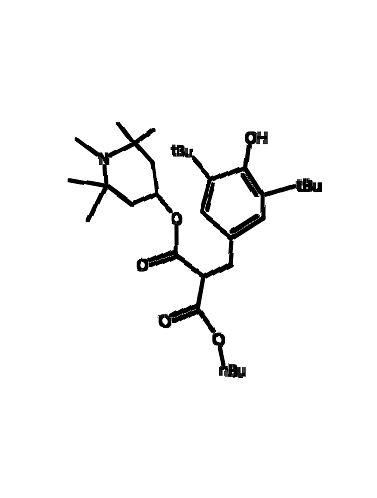 CCCCOC(=O)C(Cc1cc(C(C)(C)C)c(O)c(C(C)(C)C)c1)C(=O)OC1CC(C)(C)N(C)C(C)(C)C1